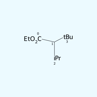 CCOC(=O)C(C(C)C)C(C)(C)C